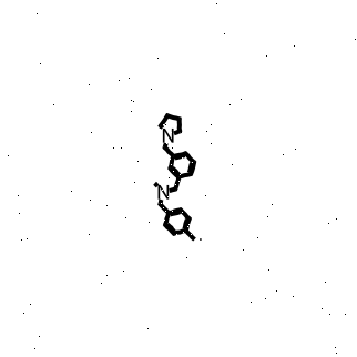 [CH2]c1ccc(CN(C)Cc2cccc(CN3CCCC3)c2)cc1